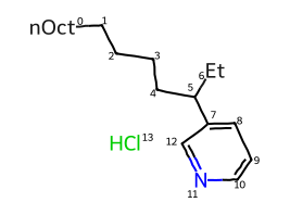 CCCCCCCCCCCCC(CC)c1cccnc1.Cl